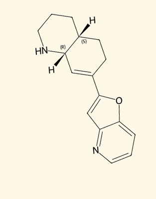 C1=C(c2cc3ncccc3o2)CC[C@H]2CCCN[C@@H]12